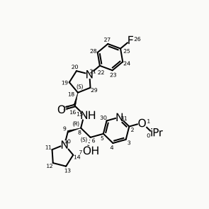 CC(C)Oc1ccc([C@H](O)[C@@H](CN2CCCC2)NC(=O)[C@H]2CCN(c3ccc(F)cc3)C2)cn1